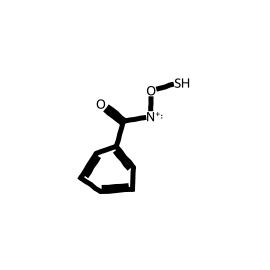 O=C([N+]OS)c1ccccc1